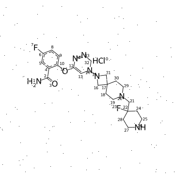 Cl.NC(=O)c1cc(F)ccc1OC1=CN(N2CC3(CCN(CC4(F)CCNCC4)CC3)C2)CN=N1